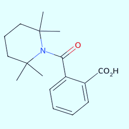 CC1(C)CCCC(C)(C)N1C(=O)c1ccccc1C(=O)O